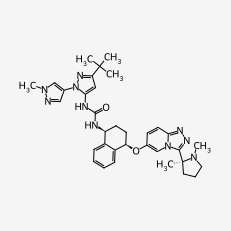 CN1CCC[C@@]1(C)c1nnc2ccc(O[C@@H]3CC[C@H](NC(=O)Nc4cc(C(C)(C)C)nn4-c4cnn(C)c4)c4ccccc43)cn12